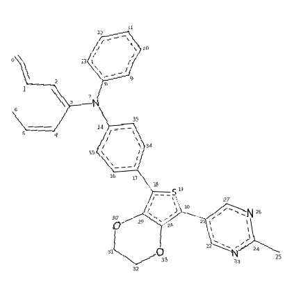 C=C/C=C(\C=C/C)N(c1ccccc1)c1ccc(-c2sc(-c3cnc(C)nc3)c3c2OCCO3)cc1